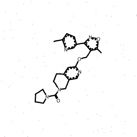 Cc1ccc(-c2noc(C)c2COc2cc3c(cn2)CN(C(=O)N2CCCC2)CC3)cn1